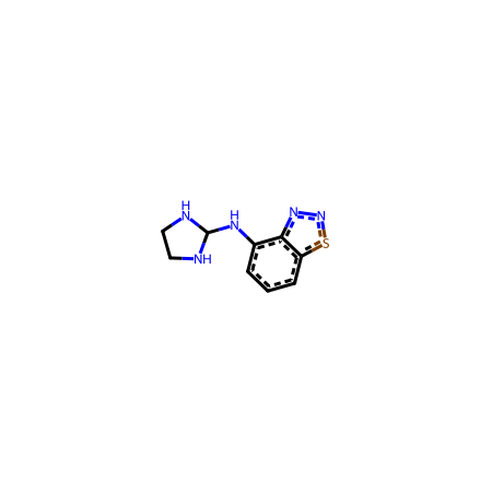 c1cc(NC2NCCN2)c2nnsc2c1